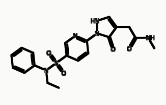 CCN(c1ccccc1)S(=O)(=O)c1ccc(-n2[nH]cc(CC(=O)NC)c2=O)nc1